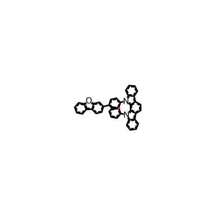 c1ccc(-n2c3ccccc3c3ccc4c5ccccc5n(-c5ccc(-c6ccc7c(c6)oc6ccccc67)cc5)c4c32)cc1